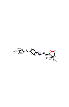 CC(C)(C)CCCCc1ccc(/C=C/CCC2OCCC2(C)C)cc1